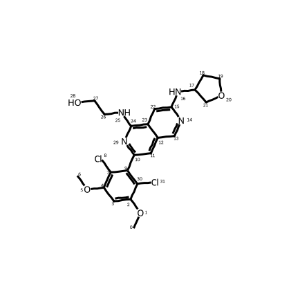 COc1cc(OC)c(Cl)c(-c2cc3cnc(NC4CCOC4)cc3c(NCCO)n2)c1Cl